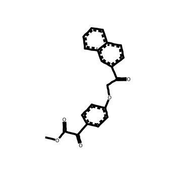 COC(=O)C(=O)c1ccc(OCC(=O)c2ccc3ccccc3c2)cc1